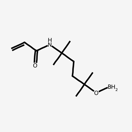 BOC(C)(C)CCC(C)(C)NC(=O)C=C